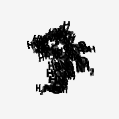 CSCC[C@H](N)C(=O)N[C@@H](C)C(=O)N[C@@H](C)C(=O)N[C@@H](C)C(=O)N[C@@H](C)C(=O)N[C@@H](C)C(=O)N[C@@H](C)C(=O)N[C@@H](C)C(=O)N[C@@H](C)C(=O)N[C@@H](CCC(=O)O)C(=O)N[C@@H](CCC(N)=O)C(=O)N[C@@H](CCC(N)=O)C(=O)N[C@@H](CO)C(=O)N[C@@H](CO)C(=O)N[C@@H](CC(N)=O)C(=O)O